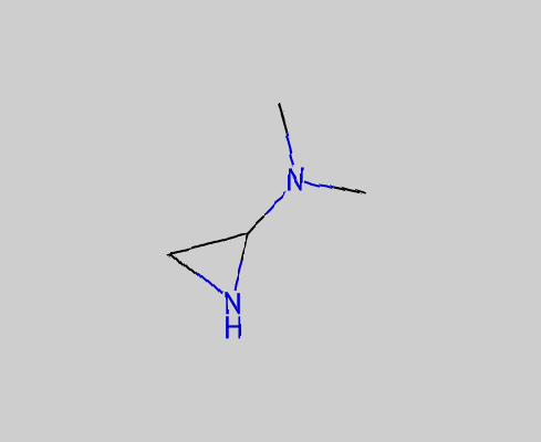 CN(C)C1CN1